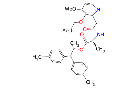 COc1ccnc(CC(=O)N[C@@H](C)C(=O)O[C@@H](C)C(c2ccc(C)cc2)c2ccc(C)cc2)c1OCOC(C)=O